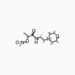 CC(O[N+](=O)[O-])C(=O)NCCN1CCOCC1